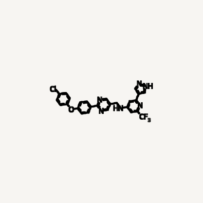 FC(F)(F)c1cc(NCc2cnc(-c3ccc(Oc4ccc(Cl)cc4)cc3)nc2)cc(-c2cn[nH]c2)n1